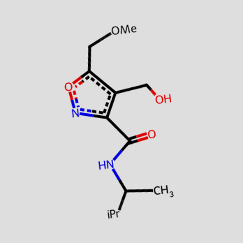 COCc1onc(C(=O)NC(C)C(C)C)c1CO